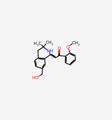 COc1ccccc1C(=O)/C=C1\NC(C)(C)Cc2ccc(CO)cc21